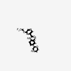 O=C(Nc1ccc([C@@H]2CNCCO2)cc1F)c1cncc(OCC(F)(F)F)n1